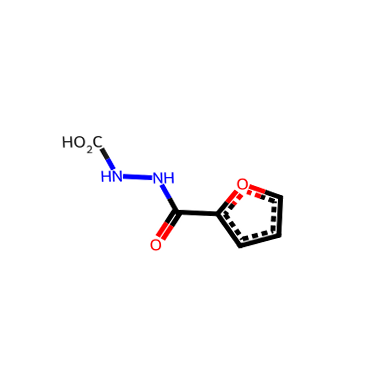 O=C(O)NNC(=O)c1ccco1